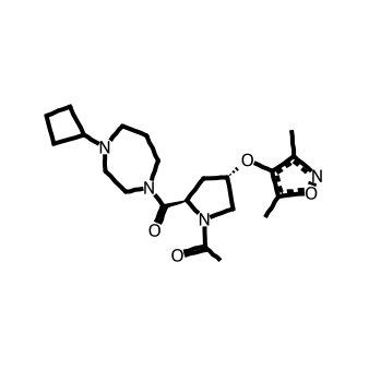 CC(=O)N1C[C@@H](Oc2c(C)noc2C)C[C@@H]1C(=O)N1CCCN(C2CCC2)CC1